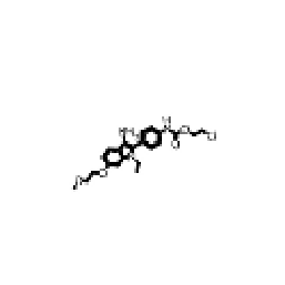 CCn1c(-c2ccc(NC(=O)OCCCl)cc2)c(N)c2ccc(OCCOC)cc21